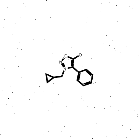 [O-]c1on[n+](CC2CC2)c1-c1ccccc1